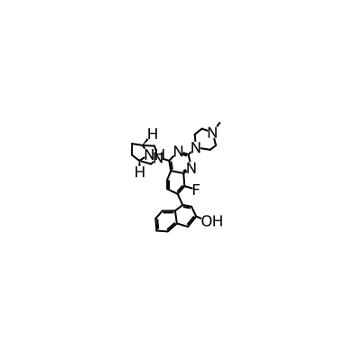 CN1CCN(c2nc(N3C[C@H]4CC[C@@H](C3)N4)c3ccc(-c4cc(O)cc5ccccc45)c(F)c3n2)CC1